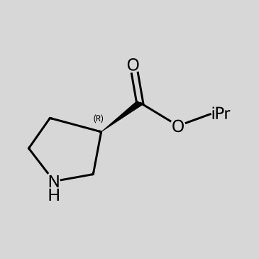 CC(C)OC(=O)[C@@H]1CCNC1